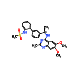 COc1cc2nc(C)nc(N[C@H](C)c3cccc(-c4ccccc4NS(C)(=O)=O)c3)c2cc1OC